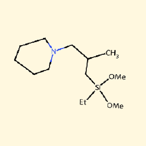 CC[Si](CC(C)CN1CCCCC1)(OC)OC